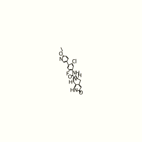 CCOc1ccc(-c2cc(F)c(NC(=O)N3[C@H]4CC[C@@H]3c3c[nH]c(=O)cc3C4)cc2Cl)cn1